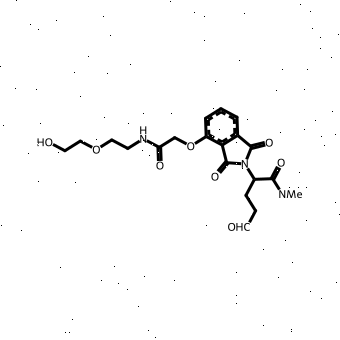 CNC(=O)C(CCC=O)N1C(=O)c2cccc(OCC(=O)NCCOCCO)c2C1=O